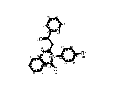 O=C(Cc1nc2ccccc2c(=O)n1-c1ccc(Br)cc1)c1ccccn1